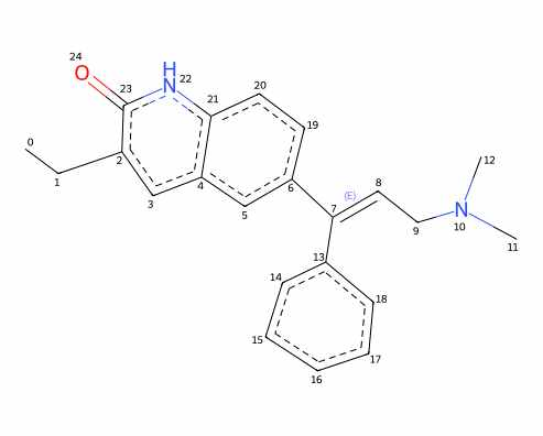 CCc1cc2cc(/C(=C/CN(C)C)c3ccccc3)ccc2[nH]c1=O